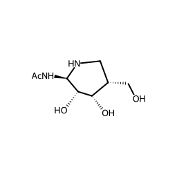 CC(=O)N[C@H]1NC[C@H](CO)[C@H](O)[C@@H]1O